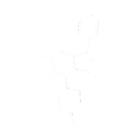 Cc1nc2c(-c3ccccc3)cnn2c(N2CCN(C)CC2)c1C